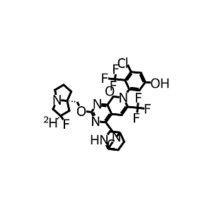 [2H][C@]1(F)CN2CCC[C@@]2(COc2nc(N3CC4CCC3CN4)c3cc(C(F)(F)F)n(-c4cc(O)cc(Cl)c4C(F)(F)F)c(=O)c3n2)C1